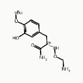 CCCCOc1ccc(C[C@H](BOCN)C(N)=O)cc1O